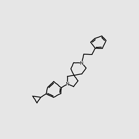 c1ccc(CCN2CCC3(CC2)CCN(c2ccc(C4CC4)cc2)C3)cc1